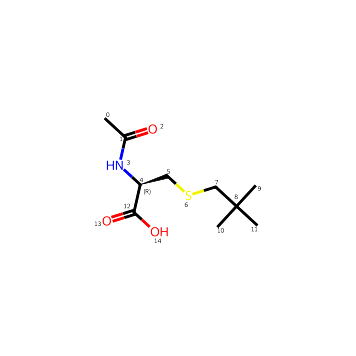 CC(=O)N[C@@H](CSCC(C)(C)C)C(=O)O